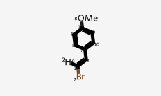 [2H]C(Br)=Cc1ccc(OC)cc1